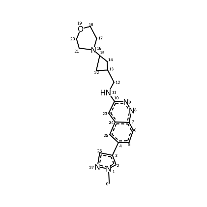 Cn1cc(-c2ccc3nnc(NCC4CC(N5CCOCC5)C4)cc3c2)cn1